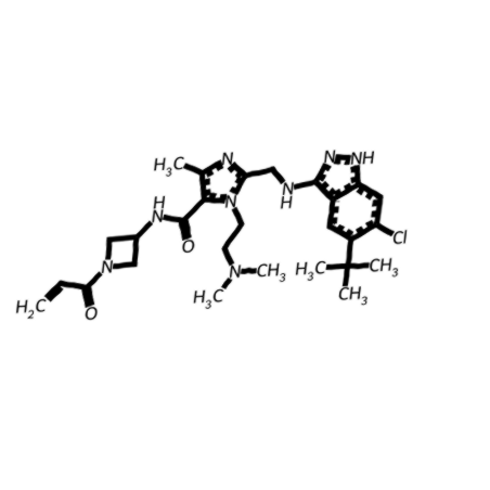 C=CC(=O)N1CC(NC(=O)c2c(C)nc(CNc3n[nH]c4cc(Cl)c(C(C)(C)C)cc34)n2CCN(C)C)C1